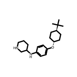 CC(C)(C)[C@H]1CC[C@H](Oc2ccc(NC3CCCNC3)cc2)CC1